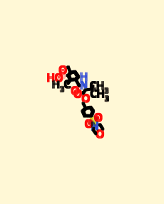 Cc1c(C(=O)NC(C(=O)OCc2ccc(S(=O)(=O)N3CCOCC3)cc2)C(C)C)ccc2c1B(O)OC2